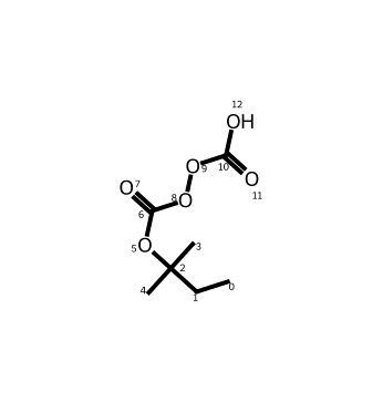 CCC(C)(C)OC(=O)OOC(=O)O